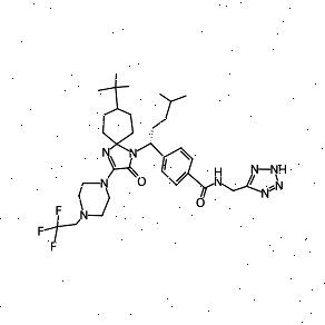 CC(C)CC[C@H](c1ccc(C(=O)NCc2nn[nH]n2)cc1)N1C(=O)C(N2CCN(CC(F)(F)F)CC2)=NC12CCC(C(C)(C)C)CC2